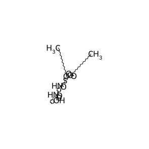 CCCCCCCCCCCCCCCC(=O)OCC(CSCCC(=O)Nc1ccc(C(=O)N[C@@H](Cc2ccccc2)C(=O)O)cc1)OC(=O)CCCCCCCCCCCCCCC